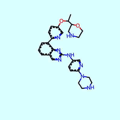 CC(Oc1ccc(-c2cccc3cnc(Nc4ccc(N5CCNCC5)nc4)nc23)nc1)C1CNCCO1